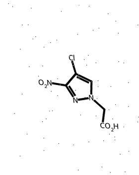 O=C(O)Cn1cc(Cl)c([N+](=O)[O-])n1